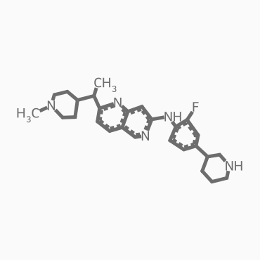 CC(c1ccc2cnc(Nc3ccc(C4CCCNC4)cc3F)cc2n1)C1CCN(C)CC1